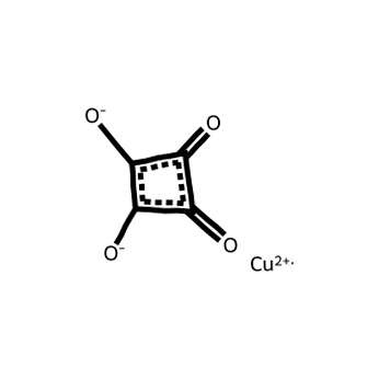 O=c1c([O-])c([O-])c1=O.[Cu+2]